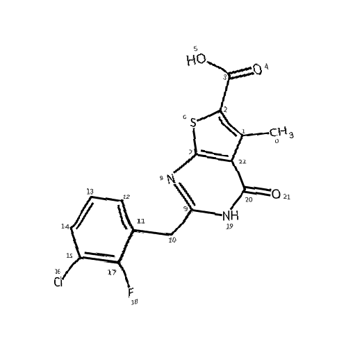 Cc1c(C(=O)O)sc2nc(Cc3cccc(Cl)c3F)[nH]c(=O)c12